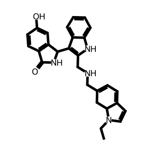 CCN1C=CC2=CC=C(CNCc3[nH]c4ccccc4c3C3NC(=O)c4ccc(O)cc43)CC21